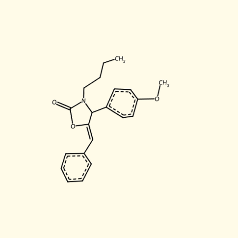 CCCCN1C(=O)OC(=Cc2ccccc2)C1c1ccc(OC)cc1